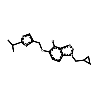 CC(C)c1nc(COc2ccc3c(nnn3CC3CC3)c2Br)cs1